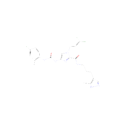 Cc1cc(Cl)ccc1NC(=O)Nc1cn(CC=C(Cl)Cl)c(C(=O)NCCCc2cn[nH]c2C)n1